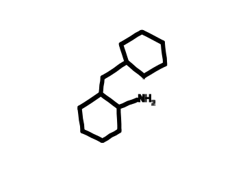 NC1CCCCC1CC1[CH]CCCC1